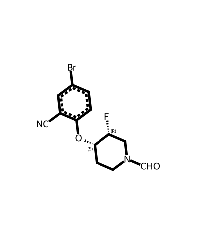 N#Cc1cc(Br)ccc1O[C@H]1CCN(C=O)C[C@H]1F